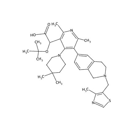 Cc1ncsc1CN1CCc2cc(-c3c(C)nc(C)c(C(OC(C)(C)C)C(=O)O)c3N3CCC(C)(C)CC3)ccc2C1